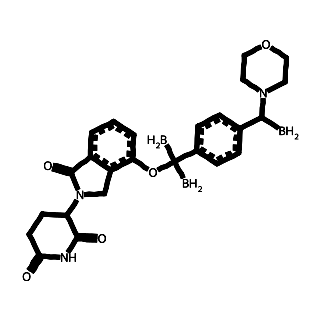 BC(c1ccc(C(B)(B)Oc2cccc3c2CN(C2CCC(=O)NC2=O)C3=O)cc1)N1CCOCC1